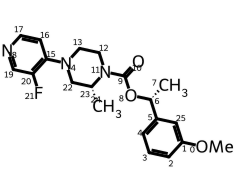 COc1cccc([C@@H](C)OC(=O)N2CCN(c3ccncc3F)C[C@H]2C)c1